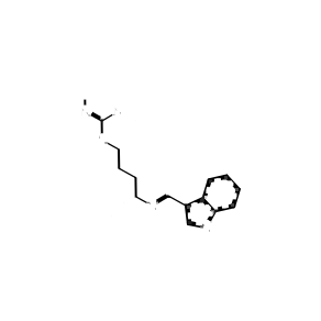 [H]/N=C(\N)NCCC[C@H](N=Cc1c[nH]c2ccccc12)C(=O)O